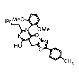 COc1cccc(OC)c1-n1c(CCC(C)C)nc(O)c(Cc2nnc(-c3ccc(C)cc3)o2)c1=O